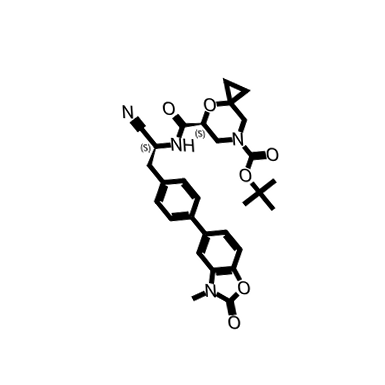 Cn1c(=O)oc2ccc(-c3ccc(C[C@@H](C#N)NC(=O)[C@@H]4CN(C(=O)OC(C)(C)C)CC5(CC5)O4)cc3)cc21